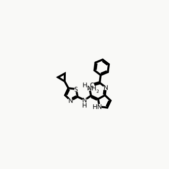 C=C(/N=C1/C=CN/C1=C(/N)Nc1ncc(C2CC2)s1)c1ccccc1